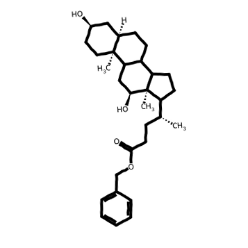 C[C@H](CCC(=O)OCc1ccccc1)C1CCC2C3CC[C@@H]4C[C@H](O)CC[C@]4(C)C3C[C@H](O)[C@@]21C